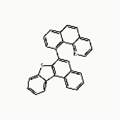 c1ccc2c(c1)cc(-c1cccc3ccc4cccnc4c13)c1sc3ccccc3c12